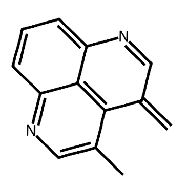 C=c1cnc2cccc3ncc(C)c1c32